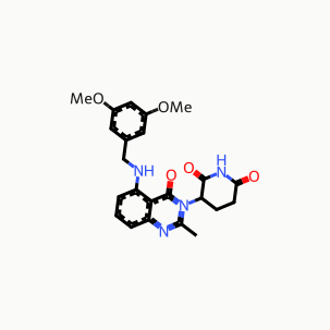 COc1cc(CNc2cccc3nc(C)n(C4CCC(=O)NC4=O)c(=O)c23)cc(OC)c1